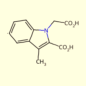 Cc1c(C(=O)O)n(CC(=O)O)c2cc[c]cc12